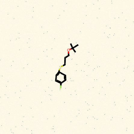 CC(C)(C)O[C]CCSc1ccc(F)cc1